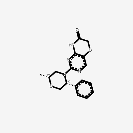 C[C@@H]1CN(c2ncc3c(n2)NC(=O)CO3)[C@H](c2ccccc2)CO1